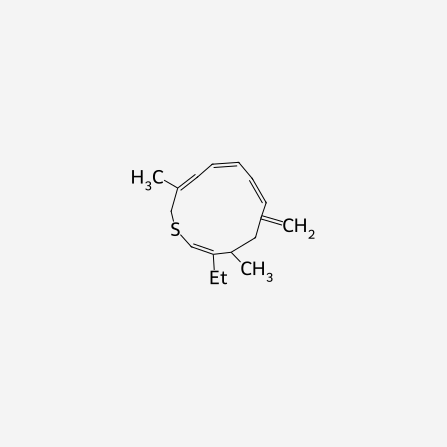 C=C1\C=C/C=C\C=C(/C)CS/C=C(/CC)C(C)C1